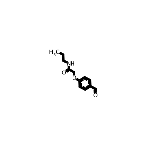 CCCNC(=O)COc1ccc(C=O)cc1